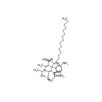 CCCCCCCCCCCCCCCc1c(N)cc(N)c(OCC)c1C1(C(C)C)C(C(=O)O)=C(C)N(C(C)C)C(C)=C1C(=O)O